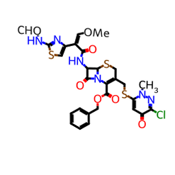 CO/C=C(\C(=O)NC1C(=O)N2C(C(=O)OCc3ccccc3)=C(CSc3cc(=O)c(Cl)nn3C)CSC12)c1csc(NC=O)n1